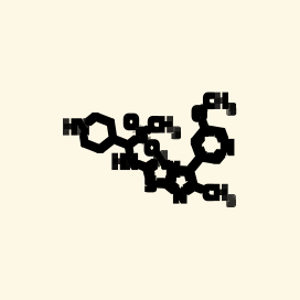 COc1cncc(-c2c(C)nc3sc(NC(C4CCNCC4)S(C)(=O)=O)nn23)c1